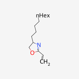 C=CC1=NC(CCCCCCCCCC)CO1